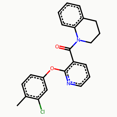 Cc1ccc(Oc2ncccc2C(=O)N2CCCc3ccccc32)cc1Cl